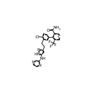 NC(=O)c1cccc(C(F)(F)F)c1-c1ccc(Cl)c(CCc2cc(Nc3cnccn3)[nH]n2)c1